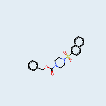 O=C(OCc1ccccc1)N1CCN(S(=O)(=O)c2ccc3ccccc3c2)CC1